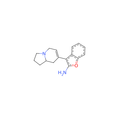 Nc1oc2ccccc2c1C1=CCN2CCCC2C1